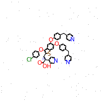 O=C(O)/C(=C/c1sc2cc(Oc3ccc(Cc4ccncc4)cc3)c(Oc3ccc(Cc4ccncc4)cc3)cc2c1Oc1ccc(Cl)cc1)c1ccncc1